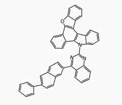 c1ccc(-c2ccc3cc(-c4nc(-n5c6ccccc6c6c7c8ccccc8oc7c7ccccc7c65)nc5ccccc45)ccc3c2)cc1